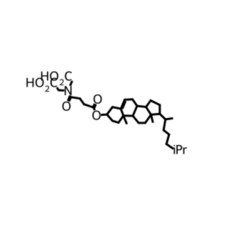 CC(C)CCCC(C)C1CCC2C3CC=C4CC(OC(=O)CCC(=O)N(CC(=O)O)CC(=O)O)CCC4(C)C3CCC12C